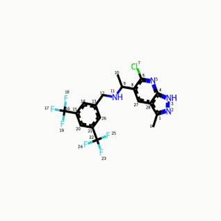 Cc1n[nH]c2nc(Cl)c(C(C)NCc3cc(C(F)(F)F)cc(C(F)(F)F)c3)cc12